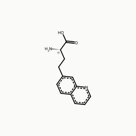 N[C@@H](CCc1ccc2cccnc2c1)C(=O)O